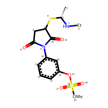 CCN[C@@H](C)SC1CC(=O)N(c2cccc(OS(=O)(=O)OC)c2)C1=O